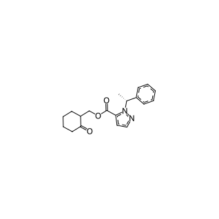 C[C@H](c1ccccc1)n1nccc1C(=O)OCC1CCCCC1=O